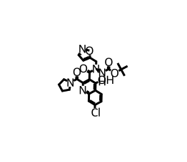 CC(C)(C)OC(=O)NN(Cc1ccno1)C(=O)c1c(C(=O)N2CCCC2)nc2cc(Cl)ccc2c1O